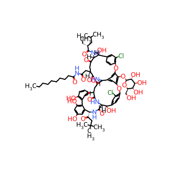 CCCCCCCCCC(=O)NC(=O)C[C@@H]1CC(=O)[C@H](NC(=O)[C@H](CC)CC(C)C)[C@H](O)c2ccc(c(Cl)c2)Oc2cc3cc(c2O[C@@H]2O[C@H](CO)[C@@H](O)[C@H](O)[C@H]2O)Oc2ccc(cc2Cl)[C@@H](O)[C@@H]2NC(=O)[C@H](CC(=O)[C@@H]3NC1=O)c1ccc(O)c(c1)-c1c(O)cc(O)cc1[C@@H](C(=O)CC(C)(C)C)NC2=O